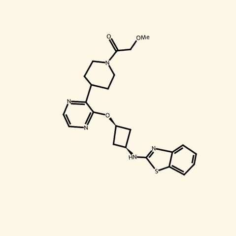 COCC(=O)N1CCC(c2nccnc2O[C@H]2C[C@@H](Nc3nc4ccccc4s3)C2)CC1